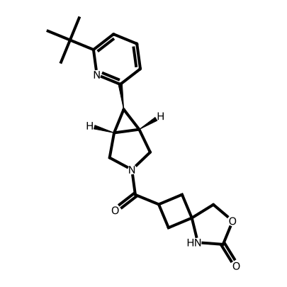 CC(C)(C)c1cccc([C@H]2[C@@H]3CN(C(=O)C4CC5(COC(=O)N5)C4)C[C@@H]32)n1